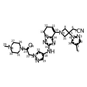 Cc1cnn(C2(CC#N)CN(C3=CCCn4nc(Nc5cnn(CC(=O)N6CCN(C)CC6)c5)nc43)C2)c1